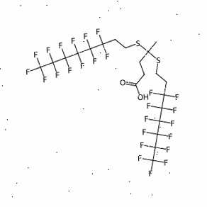 CC(CCC(=O)O)(SCCC(F)(F)C(F)(F)C(F)(F)C(F)(F)C(F)(F)C(F)(F)F)SCCC(F)(F)C(F)(F)C(F)(F)C(F)(F)C(F)(F)C(F)(F)F